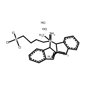 CC1=Cc2ccccc2[CH]1[Ti]([CH3])(=[SiH2])([CH2]CCC[Si](Cl)(Cl)Cl)[CH]1C(C)=Cc2ccccc21.Cl.Cl